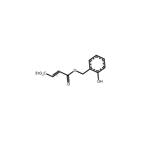 CCOC(=O)/C=C/C(=O)OCc1ccccc1O